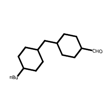 CCCCC1CCC(CC2CCC(C=O)CC2)CC1